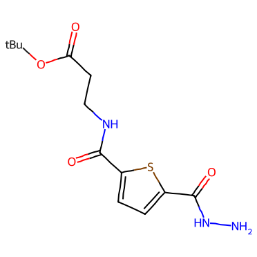 CC(C)(C)OC(=O)CCNC(=O)c1ccc(C(=O)NN)s1